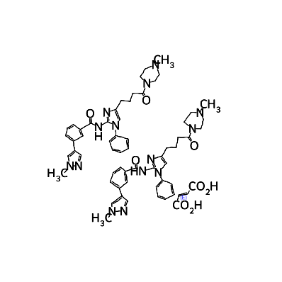 CN1CCN(C(=O)CCCc2cn(-c3ccccc3)c(NC(=O)c3cccc(-c4cnn(C)c4)c3)n2)CC1.CN1CCN(C(=O)CCCc2cn(-c3ccccc3)c(NC(=O)c3cccc(-c4cnn(C)c4)c3)n2)CC1.O=C(O)/C=C/C(=O)O